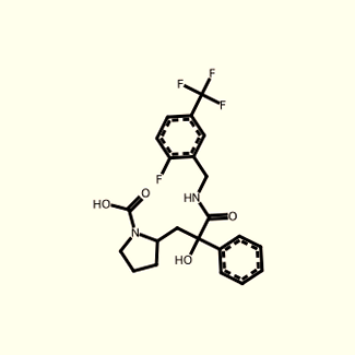 O=C(O)N1CCCC1CC(O)(C(=O)NCc1cc(C(F)(F)F)ccc1F)c1ccccc1